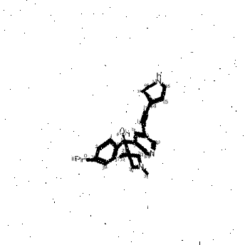 CC(C)c1ccc([C@](O)(c2cncc(C#CC3CCNCC3)c2)C2(C)CN(C)C2)cc1